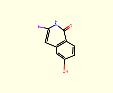 O=c1[nH]c(I)cc2cc(O)ccc12